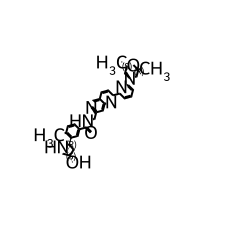 Cc1ccc(C(=O)NCc2cc3nc(-c4cccc(N5C[C@@H](C)O[C@@H](C)C5)n4)ccc3cn2)cc1[C@H]1C[C@H](O)CN1